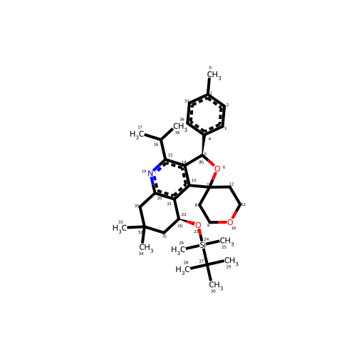 Cc1ccc([C@H]2OC3(CCOCC3)c3c2c(C(C)C)nc2c3[C@@H](O[Si](C)(C)C(C)(C)C)CC(C)(C)C2)cc1